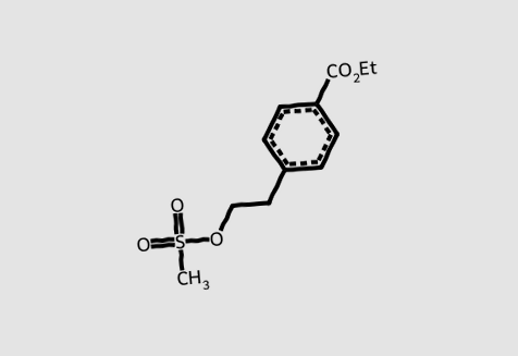 CCOC(=O)c1ccc(CCOS(C)(=O)=O)cc1